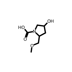 COCC1CC(O)CN1C(=O)O